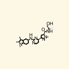 Cc1c(C)n(C)c2ccc(Nc3nccc(-c4cc(C(=O)N[C@@H](C)CO)n(C)n4)n3)cc12